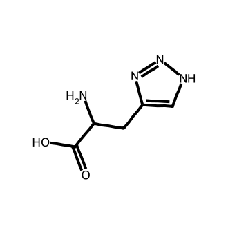 NC(Cc1c[nH]nn1)C(=O)O